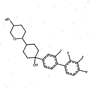 CCCC1CCC(C2CCC(O)(c3ccc(-c4ccc(F)c(F)c4F)c(F)c3)CC2)OC1